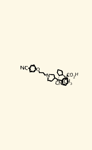 CN(C(=O)O)[C@@H]1CCC[C@H]1C(C#N)(c1ccccc1)C1CCN(CCCOc2ccc(C#N)cc2)CC1